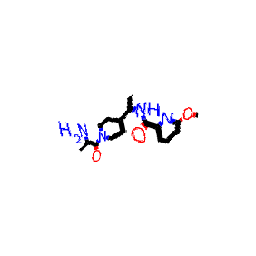 COc1cccc(C(=O)NC(C)C2CCN(C(=O)C(C)N)CC2)n1